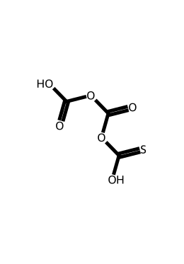 O=C(O)OC(=O)OC(O)=S